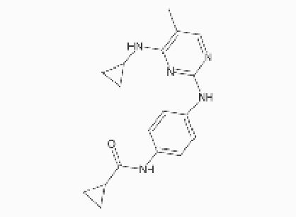 Cc1cnc(Nc2ccc(NC(=O)C3CC3)cc2)nc1NC1CC1